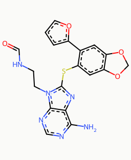 Nc1ncnc2c1nc(Sc1cc3c(cc1-c1ccco1)OCO3)n2CCNC=O